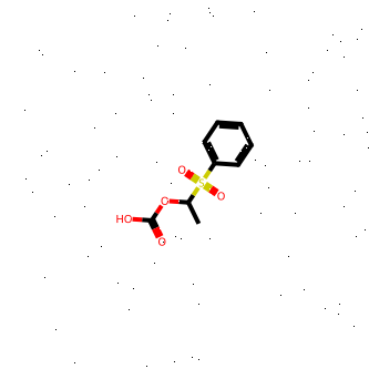 CC(OC(=O)O)S(=O)(=O)c1ccccc1